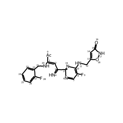 CC(=O)/C(=C/C(=N)c1ncc(F)c(NCc2cc(=O)[nH]o2)n1)NCc1ccccc1F